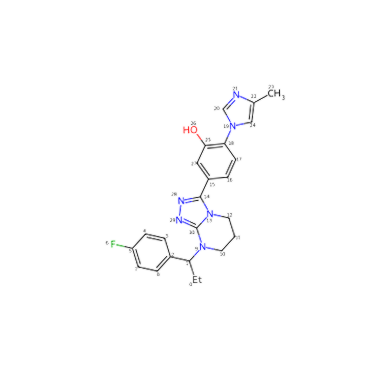 CCC(c1ccc(F)cc1)N1CCCn2c(-c3ccc(-n4cnc(C)c4)c(O)c3)nnc21